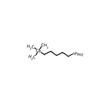 CCCCCCCCC[CH][Ge]([CH3])([CH3])[CH3]